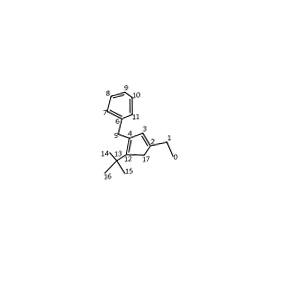 CCC1=CC(Cc2ccccc2)=C(C(C)(C)C)C1